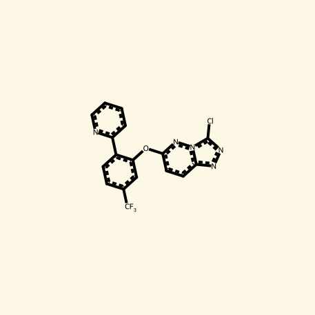 FC(F)(F)c1ccc(-c2ccccn2)c(Oc2ccc3nnc(Cl)n3n2)c1